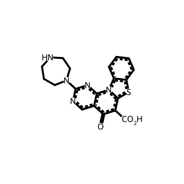 O=C(O)c1c(=O)c2cnc(N3CCCNCC3)nc2n2c1sc1ccccc12